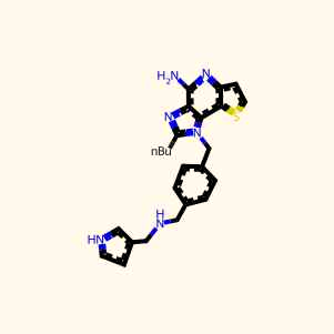 CCCCc1nc2c(N)nc3ccsc3c2n1Cc1ccc(CNCc2cc[nH]c2)cc1